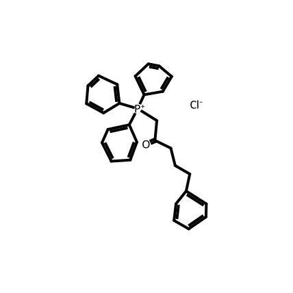 O=C(CCCc1ccccc1)C[P+](c1ccccc1)(c1ccccc1)c1ccccc1.[Cl-]